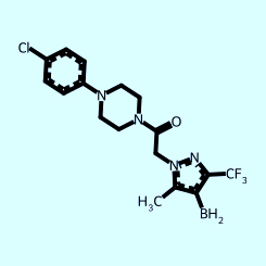 Bc1c(C(F)(F)F)nn(CC(=O)N2CCN(c3ccc(Cl)cc3)CC2)c1C